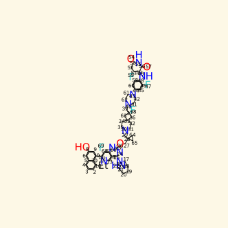 CCc1cccc2cc(O)cc(-c3ncc4c(N5CC6CCC(C5)N6)nc(OCC5(CN6CCC7(CC6)CC(F)(CN6CCN(c8cc(F)c(NC9CCC(=O)NC9=O)c(F)c8)CC6)C7)CC5)nc4c3F)c12